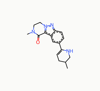 CC1CC=C(c2ccc3nn4c(c3c2)C(=O)N(C)CC4)NC1